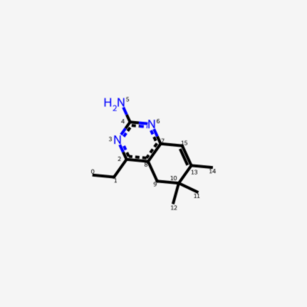 CCc1nc(N)nc2c1CC(C)(C)C(C)=C2